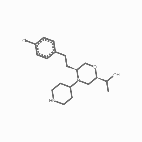 CC(O)[C@H]1CN(C2CCNCC2)[C@@H](CCc2ccc(Cl)cc2)CO1